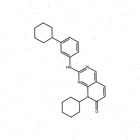 O=c1ccc2cnc(Nc3cccc(N4CCCCC4)c3)nc2n1C1CCCCC1